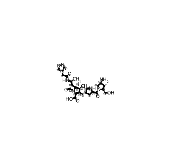 C[C@@H](NC(=O)Cn1cnnn1)[C@H]1C(=O)N2C(C(=O)O)=C(S[C@@H]3CNC(C(=O)N4C[C@@H](N)C[C@H]4CO)C3)[C@H](C)[C@@H]12